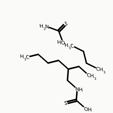 CCCC.CCCCC(CC)CNC(O)=S.NC(O)=S